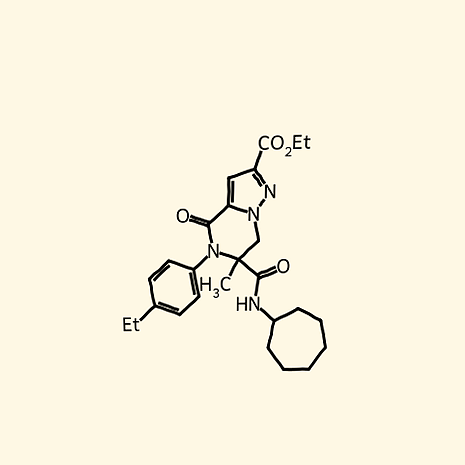 CCOC(=O)c1cc2n(n1)CC(C)(C(=O)NC1CCCCCC1)N(c1ccc(CC)cc1)C2=O